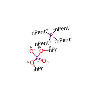 CCCCC[P+](CCCCC)(CCCCC)CCCCC.CCCOP(=O)([O-])OCCC